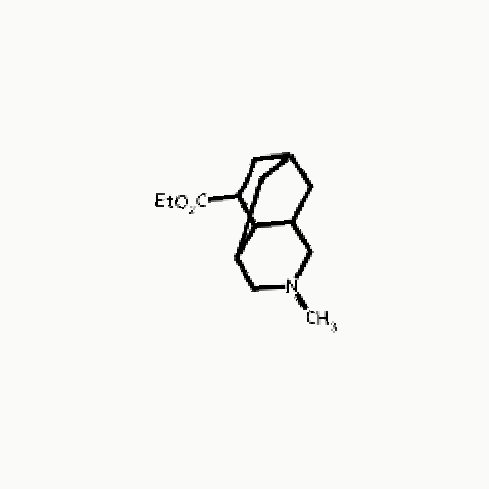 CCOC(=O)C1CC2CC3CN(C)CC(C2)C31